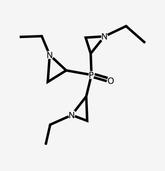 CCN1CC1P(=O)(C1CN1CC)C1CN1CC